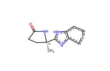 C[C@]1(c2nc3ccccc3[nH]2)CCC(=O)N1